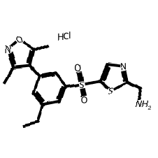 CCc1cc(-c2c(C)noc2C)cc(S(=O)(=O)c2cnc(CN)s2)c1.Cl